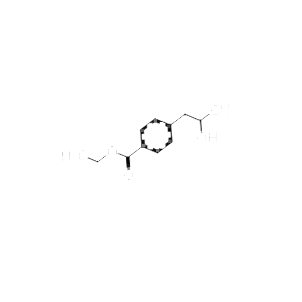 CCOC(=O)c1ccc(CC(C)O)cc1